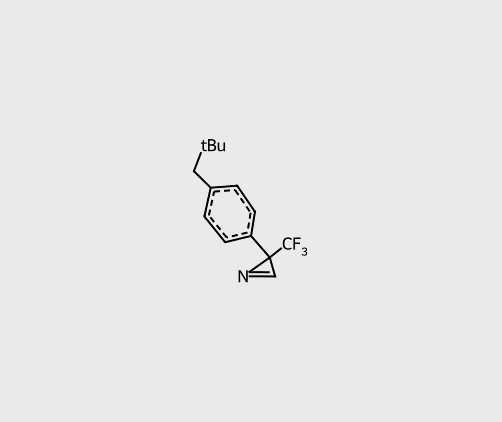 CC(C)(C)Cc1ccc(C2(C(F)(F)F)C=N2)cc1